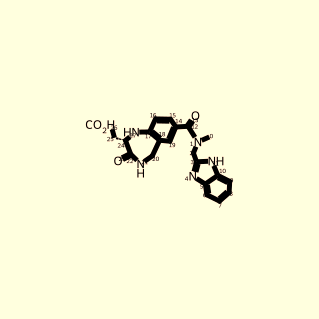 CN(Cc1nc2ccccc2[nH]1)C(=O)c1ccc2c(c1)CNC(=O)[C@H](CC(=O)O)N2